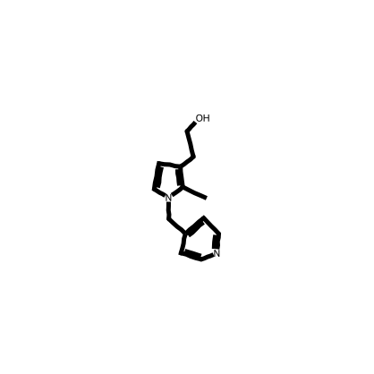 Cc1c(CCO)ccn1Cc1ccncc1